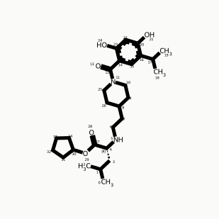 CC(C)C[C@@H](NCCC1CCN(C(=O)c2cc(C(C)C)c(O)cc2O)CC1)C(=O)OC1CCCC1